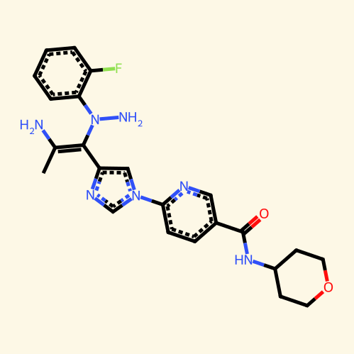 C/C(N)=C(\c1cn(-c2ccc(C(=O)NC3CCOCC3)cn2)cn1)N(N)c1ccccc1F